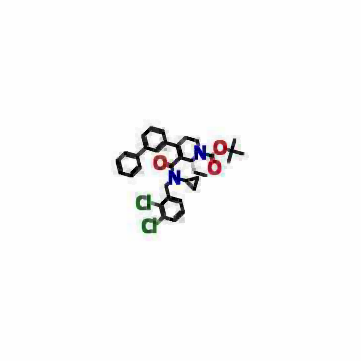 CC[C@@H]1C(C(=O)N(Cc2cccc(Cl)c2Cl)C2CC2)=C(c2cccc(-c3ccccc3)c2)CCN1C(=O)OC(C)(C)C